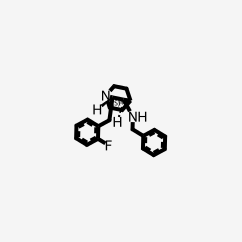 Fc1ccccc1C[C@H]1[C@H](NCc2ccccc2)C2CCN1CC2